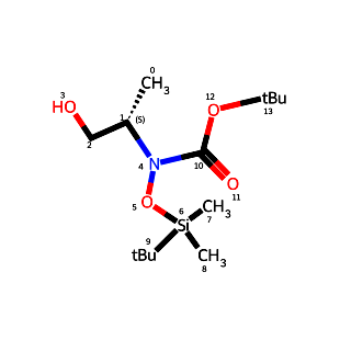 C[C@@H](CO)N(O[Si](C)(C)C(C)(C)C)C(=O)OC(C)(C)C